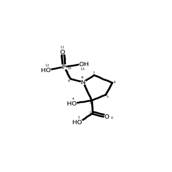 O=C(O)C1(O)CCCN1CP(=O)(O)O